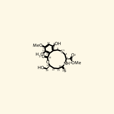 COC(=O)[C@@H]1CSCc2c(O)cc(OC)c(C)c2C(=O)O[C@H](CO)CCC(=S)N1